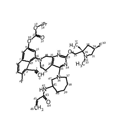 C#Cc1c(F)ccc2cc(OC(=O)OC(C)C)cc(N3CCc4c(nc(OC[C@]5(C)C[C@@H](F)CN5C)nc4N4CCCCC(NC(=O)C=C)C4)C3)c12